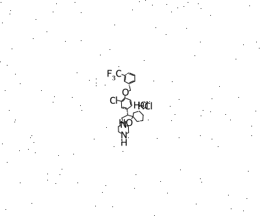 Cl.Cl.OC1(C(CN2CCNCC2)c2ccc(OCc3cccc(C(F)(F)F)c3)c(Cl)c2)CCCCC1